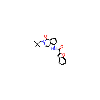 CC(C)(C)Cn1ccc2c(NC(=O)c3cc4ccccc4o3)cccc2c1=O